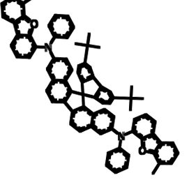 Cc1cccc2c1oc1c(N(c3ccccc3)c3ccc4c5c(ccc4c3)-c3ccc4cc(N(c6ccccc6)c6cccc7c6oc6c(C)cccc67)ccc4c3C53c4ccc(C(C)(C)C)cc4-c4cc(C(C)(C)C)ccc43)cccc12